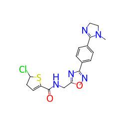 CN1CCN=C1c1ccc(-c2noc(CNC(=O)C3=CCC(Cl)S3)n2)cc1